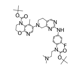 Cc1c(N2CCc3cnc(Nc4ccc(N(CCN(C)C)C(=O)OC(C)(C)C)c(F)c4)nc3C2)cnc2c1N(C(=O)OC(C)(C)C)CCO2